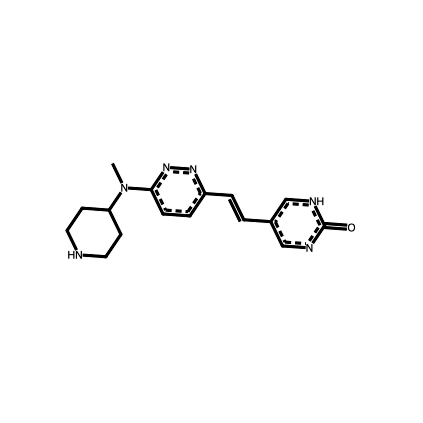 CN(c1ccc(C=Cc2cnc(=O)[nH]c2)nn1)C1CCNCC1